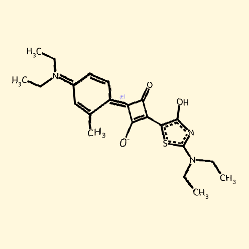 CCN(CC)c1nc(O)c(C2=C([O-])/C(=C3/C=CC(=[N+](CC)CC)C=C3C)C2=O)s1